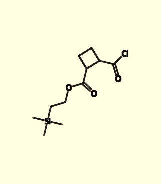 C[Si](C)(C)CCOC(=O)C1CCC1C(=O)Cl